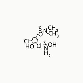 CCN(CC)C(=S)OCc1cc(Cl)c(O)c(Cl)c1.NC(O)=S